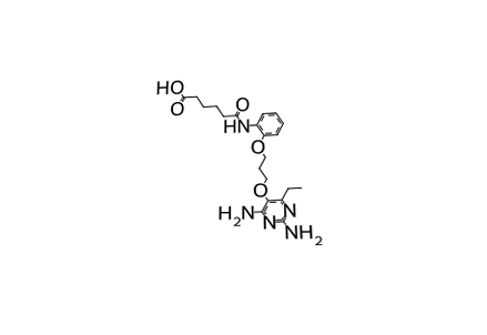 CCc1nc(N)nc(N)c1OCCCOc1ccccc1NC(=O)CCCCC(=O)O